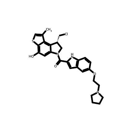 Cc1csc2c(O)cc3c(c12)[C@H](CCl)CN3C(=O)c1cc2cc(OCCN3CCCC3)ccc2[nH]1